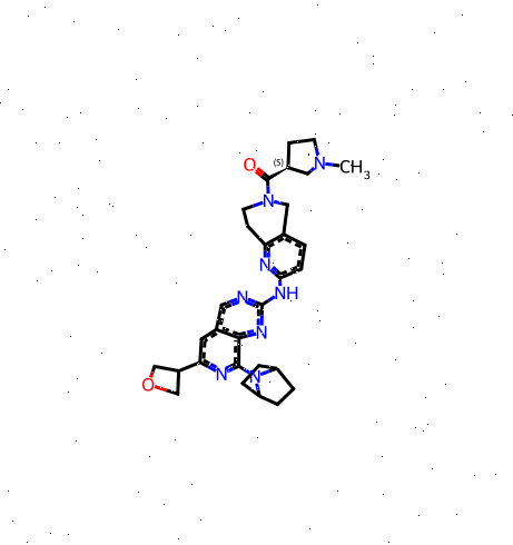 CN1CC[C@H](C(=O)N2CCc3nc(Nc4ncc5cc(C6COC6)nc(N6C7CCC6CC7)c5n4)ccc3C2)C1